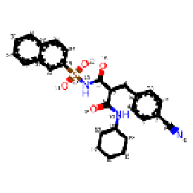 N#Cc1ccc(CC(C(=O)NC2CCCCC2)C(=O)NS(=O)(=O)c2ccc3ccccc3c2)cc1